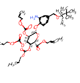 C=CCOC(=O)O[C@@H]1[C@@H](OC(=O)OCC=C)[C@H](Oc2ccc(CO[Si](C)(C)C(C)(C)C)cc2N)O[C@H](C(=O)OCC=C)[C@H]1OC(=O)OCC=C